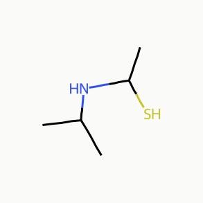 CC(C)NC(C)S